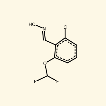 ON=Cc1c(Cl)cccc1OC(F)F